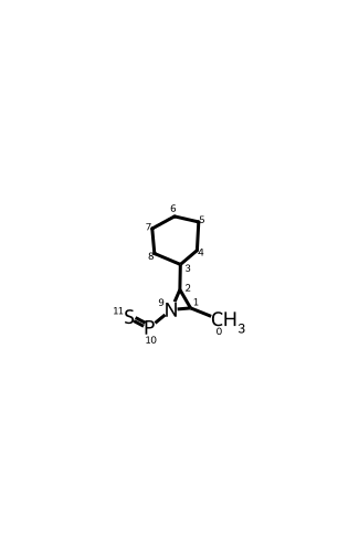 CC1C(C2CCCCC2)N1P=S